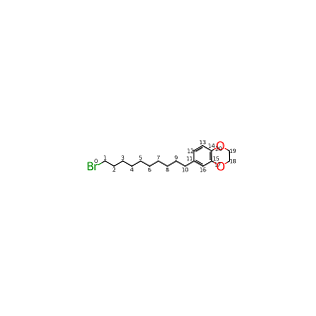 BrCCCCCCCCCCc1ccc2c(c1)OCCO2